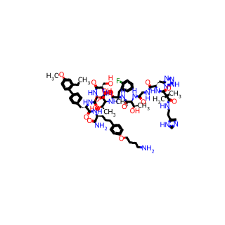 CCc1cc(OC)ccc1-c1ccc(C[C@H](NC(=O)[C@H](CC(=O)O)NC(=O)[C@H](CO)NC(=O)[C@@H](NC(=O)[C@](C)(Cc2ccccc2F)NC(=O)[C@@H](NC(=O)CNC(=O)[C@H](Cc2nn[nH]n2)NC(=O)C(C)(C)C(=O)NCCc2cnc[nH]2)[C@@H](C)O)[C@@H](C)O)C(=O)N[C@@H](CCCc2ccc(OCCCCN)cc2)C(N)=O)cc1